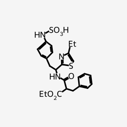 CCOC(=O)C(Cc1ccccc1)C(=O)NC(Cc1ccc(NS(=O)(=O)O)cc1)c1nc(CC)cs1